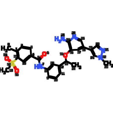 Cc1ccc(C(=O)Nc2cccc(C(C)Oc3cc(-c4cnn(C)c4)cnc3N)c2)cc1S(C)(=O)=O